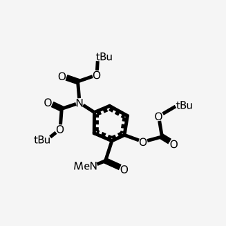 CNC(=O)c1cc(N(C(=O)OC(C)(C)C)C(=O)OC(C)(C)C)ccc1OC(=O)OC(C)(C)C